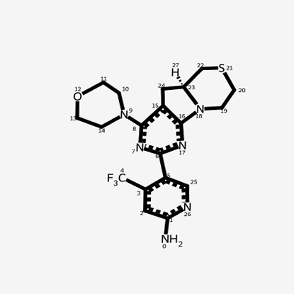 Nc1cc(C(F)(F)F)c(-c2nc(N3CCOCC3)c3c(n2)N2CCSC[C@@H]2C3)cn1